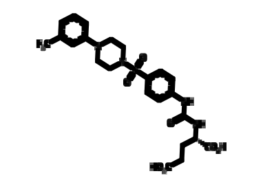 O=C(O)CC[C@H](NC(=O)Nc1ccc(S(=O)(=O)N2CCN(c3cccc(C(F)(F)F)c3)CC2)cc1)C(=O)O